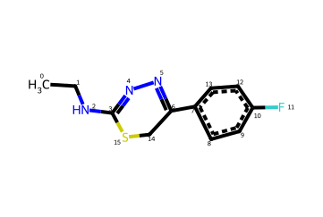 CCNC1=NN=C(c2ccc(F)cc2)CS1